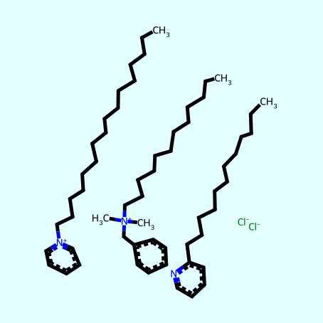 CCCCCCCCCCCCCCCC[n+]1ccccc1.CCCCCCCCCCCC[N+](C)(C)Cc1ccccc1.CCCCCCCCCCCCc1ccccn1.[Cl-].[Cl-]